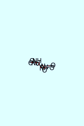 COC(=O)CC1CCN(C(=O)c2ncc(-c3ccc(C(=N)NC(=O)OC)cc3)cn2)CC1